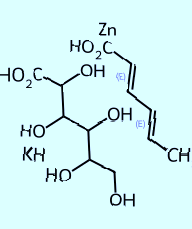 C/C=C/C=C/C(=O)O.O=C(O)C(O)C(O)C(O)C(O)CO.[KH].[Zn]